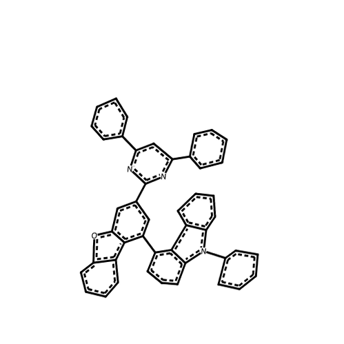 c1ccc(-c2cc(-c3ccccc3)nc(-c3cc(-c4cccc5c4c4ccccc4n5-c4ccccc4)c4c(c3)oc3ccccc34)n2)cc1